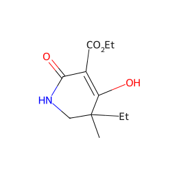 CCOC(=O)C1=C(O)C(C)(CC)CNC1=O